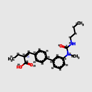 CCCCNC(=O)N(C)c1cccc(-c2ccc(/C=C(/CC)C(=O)O)cc2)c1